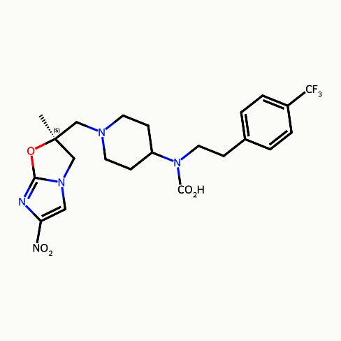 C[C@]1(CN2CCC(N(CCc3ccc(C(F)(F)F)cc3)C(=O)O)CC2)Cn2cc([N+](=O)[O-])nc2O1